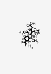 Cc1nc(CC(=O)O)c(C2OCCO2)c(N[C@H](C)c2cccc(C(F)F)c2C)n1